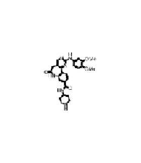 COc1ccc(Nc2ncc3c(n2)-c2ccc(C(=O)NC4CCNCC4)cc2NC(=O)C3)cc1OC